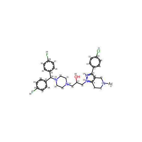 CC(=O)N1CCc2c(c(-c3ccc(Cl)cc3)nn2CC(O)CN2CCN(C(c3ccc(F)cc3)c3ccc(F)cc3)CC2)C1